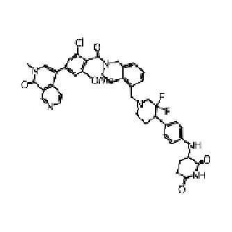 COc1cc(-c2cn(C)c(=O)c3cnccc23)cc(Cl)c1C(=O)N1CCc2c(CN3CCC(c4ccc(NC5CCC(=O)NC5=O)cc4)C(F)(F)C3)cccc2C1